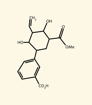 C=CC1C(O)C(C(=O)OC)CC(c2cccc(C(=O)O)c2)C1O